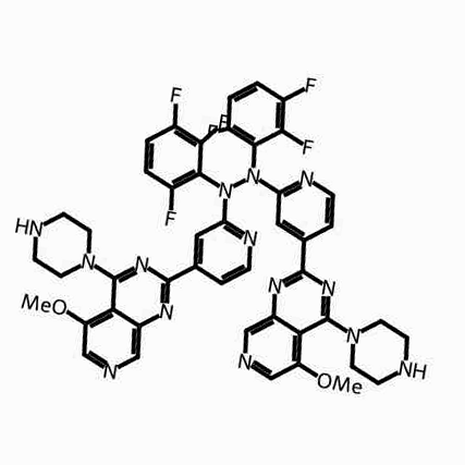 COc1cncc2nc(-c3ccnc(N(c4c(F)ccc(F)c4F)N(c4cc(-c5nc(N6CCNCC6)c6c(OC)cncc6n5)ccn4)c4c(F)ccc(F)c4F)c3)nc(N3CCNCC3)c12